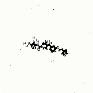 Cc1noc(NC(=O)N2CC/C(=C\c3cccc(OCCc4ccsc4)c3)C(C)C2)c1C